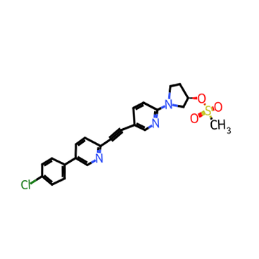 CS(=O)(=O)O[C@@H]1CCN(c2ccc(C#Cc3ccc(-c4ccc(Cl)cc4)cn3)cn2)C1